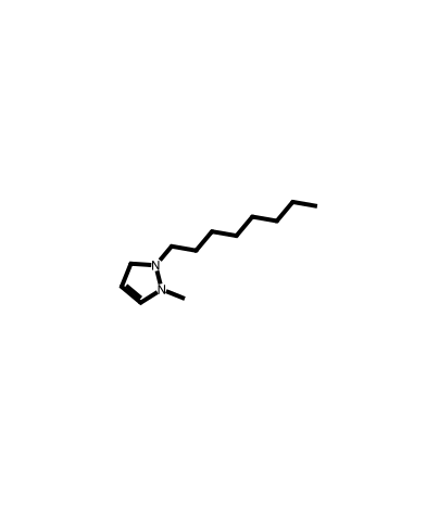 CCCCCCCCN1CC=CN1C